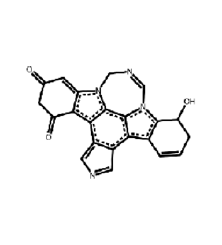 O=C1C=c2c(c3c4c(c5c6c(n7c5c3n2CN=C7)C(O)CC=C6)C=NC=4)C(=O)C1